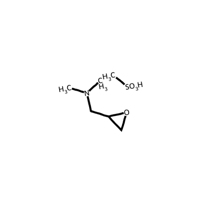 CN(C)CC1CO1.CS(=O)(=O)O